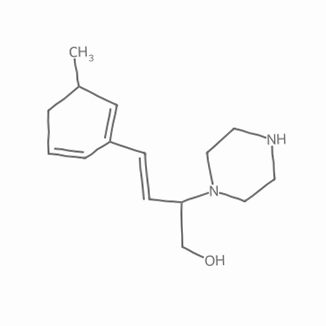 CC1C=C(/C=C/C(CO)N2CCNCC2)C=CC1